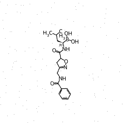 CC(C)C[C@H](NC(=O)C1CC(CNC(=O)c2ccccc2)=NO1)B(O)O